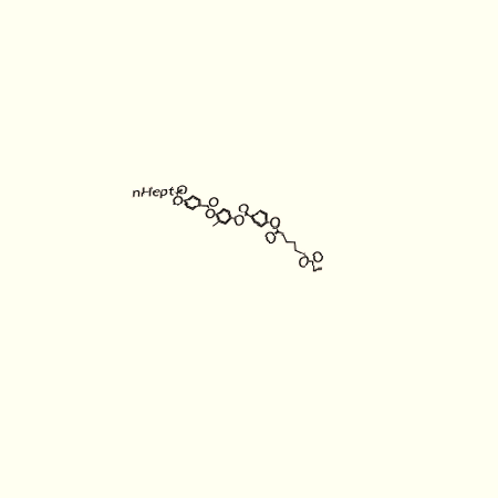 C=CC(=O)OCCCCCC(=O)Oc1ccc(C(=O)Oc2ccc(OC(=O)c3ccc(OC(=O)CCCCCCC)cc3)c(C)c2)cc1